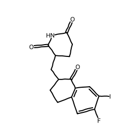 O=C1CCC(CC2CCc3cc(F)c(I)cc3C2=O)C(=O)N1